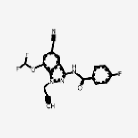 C#CCn1nc(NC(=O)c2ccc(F)cc2)c2cc(C#N)cc(OC(F)F)c21